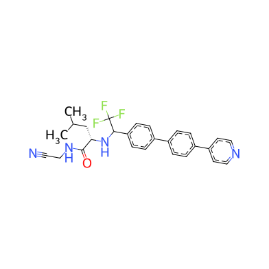 CC(C)C[C@H](NC(c1ccc(-c2ccc(-c3ccncc3)cc2)cc1)C(F)(F)F)C(=O)NCC#N